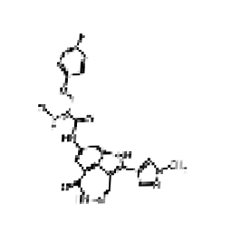 Cn1cc(-c2[nH]c3cc(NC(=O)[C@@H](COc4ccc(F)cc4)NCl)cc4c3c2C=NNC4=O)cn1